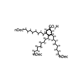 CCCCCCCCCCCCCCCCCCc1cc(C(=O)O)cc(CCCCCCCCCCCCCCCCCC)c1CCCCCCCCCCCCCCCCCC